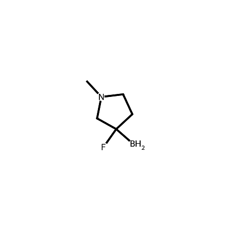 BC1(F)CCN(C)C1